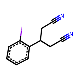 N#CCC(CC#N)c1ccccc1I